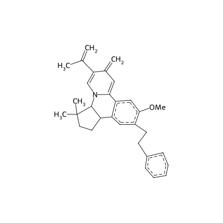 C=C(C)C1=CN2C(=CC1=C)c1cc(OC)c(CCc3ccccc3)cc1C1CCC(C)(C)C12